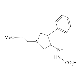 COCCN1CC(NNC(=O)O)C(c2ccccc2)C1